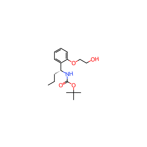 CCC[C@@H](NC(=O)OC(C)(C)C)c1ccccc1OCCO